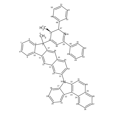 C[C@@H]1C(C2(C)c3ccccc3-c3cc4cc(-n5c6ccccc6c6c7ccccc7ccc65)ccc4cc32)=CC(c2ccccc2)=NC1c1ccccc1